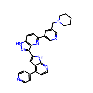 c1cc(-c2ccnc3[nH]c(-c4n[nH]c5ccc(-c6cncc(CN7CCCCC7)c6)nc45)cc23)ccn1